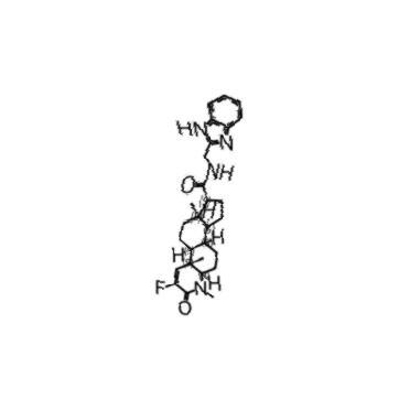 CN1C(=O)C(F)=C[C@]2(C)[C@H]3CC[C@]4(C)[C@@H](C(=O)NCc5nc6ccccc6[nH]5)CC[C@H]4[C@@H]3CC[C@@H]12